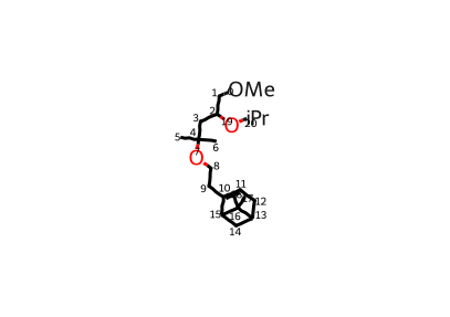 COCC(CC(C)(C)OCCC1=CCC2CC1C2(C)C)OC(C)C